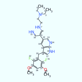 CCN(CC)CCN/C=C(\C=N)c1cnc2[nH]cc(Cc3c(F)c(OC)cc(OC)c3F)c2c1